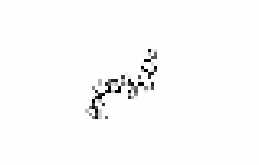 CO[C@H]1CC[C@@H](SC(C)(C)C(=O)Nc2cc(C(C)(C)CO)no2)CC1